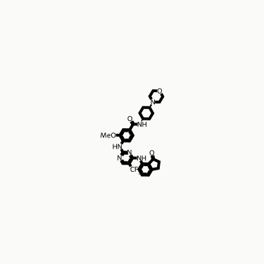 COc1cc(C(=O)N[C@H]2CC[C@H](N3CCOCC3)CC2)ccc1Nc1ncc(C(F)(F)F)c(Nc2cccc3c2C(=O)CC3)n1